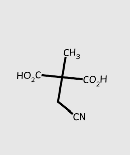 CC(CC#N)(C(=O)O)C(=O)O